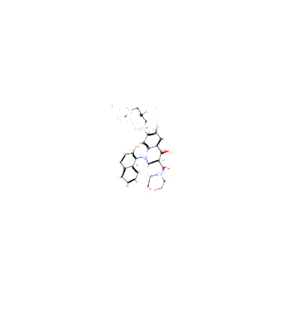 CN(C)CC(C)(C)CNc1c(F)cc2c(=O)c(C(=O)N3CCOCC3)cn3c2c1Oc1ccc2ccccc2c1-3